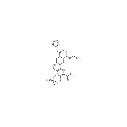 CCOC(=O)C1CN(c2nc(C(C)C)c3c(c2C=N)CC(C)(C)OC3)CCN1C(=O)Cc1cccs1